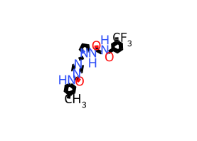 Cc1ccc(NC(=O)N2CCN(CCN3CCCC3NC(=O)CNC(=O)c3cccc(C(F)(F)F)c3)CC2)cc1